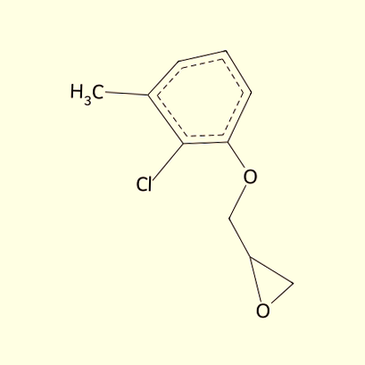 Cc1cccc(OCC2CO2)c1Cl